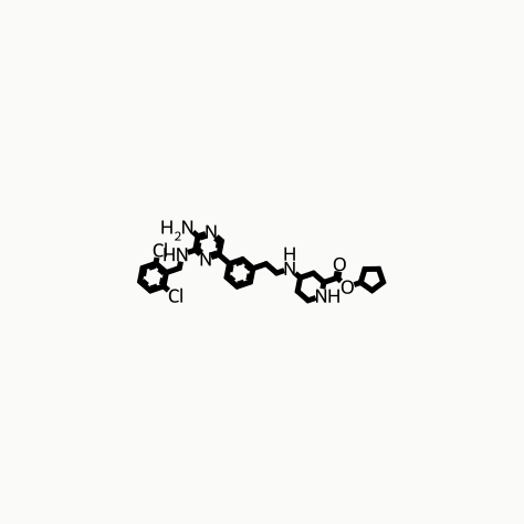 Nc1ncc(-c2cccc(CCNC3CCNC(C(=O)OC4CCCC4)C3)c2)nc1NCc1c(Cl)cccc1Cl